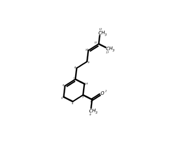 CC(=O)C1CCC=C(CCC=C(C)C)C1